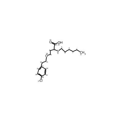 CCCCCCSC(CCOCCc1ccc(Cl)cc1)C(=O)O